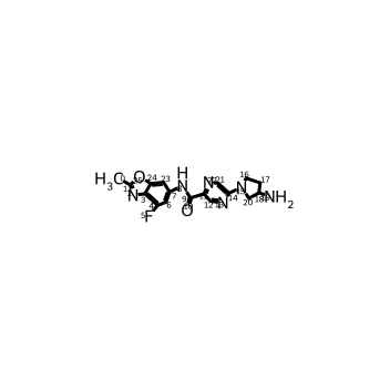 Cc1nc2c(F)cc(NC(=O)c3cnc(N4CCC(N)C4)cn3)cc2o1